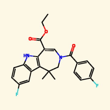 CCOC(=O)C1=CN(C(=O)c2ccc(F)cc2)CC(C)(C)c2c1[nH]c1ccc(F)cc21